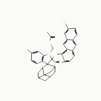 CC(=O)OCN1c2cc(Cl)ccc2C2(C3CC4CC(C3)CC2C4)C12C=Nc1ccc3cc4ccc(Br)cc4cc3c1O2